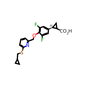 O=C(O)C1C[C@@H]1c1cc(F)c(OCc2cccc(SCC3CC3)n2)c(F)c1